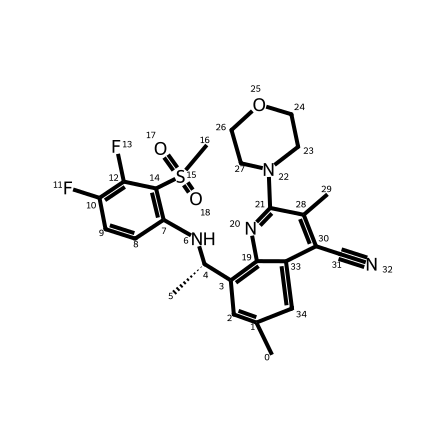 Cc1cc([C@H](C)Nc2ccc(F)c(F)c2S(C)(=O)=O)c2nc(N3CCOCC3)c(C)c(C#N)c2c1